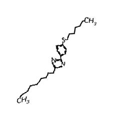 CCCCCCCCCc1cnc(-c2ccc(SCCCCCCC)cc2)nc1